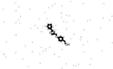 ON=Cc1ccc(OCc2coc(-c3ccccc3)n2)cc1